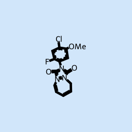 COc1cc(-n2c(=O)n3n(c2=O)CC=CC=C3)c(F)cc1Cl